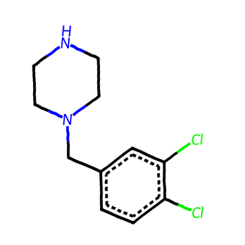 Clc1ccc(CN2CCNCC2)cc1Cl